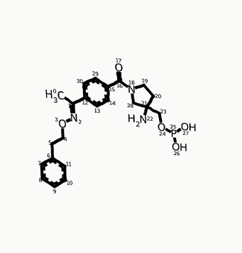 C/C(=N\OCCc1ccccc1)c1ccc(C(=O)N2CCC(N)(COP(O)O)C2)cc1